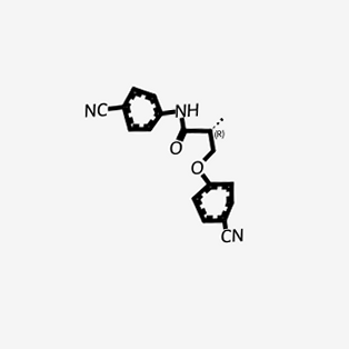 C[C@H](COc1ccc(C#N)cc1)C(=O)Nc1ccc(C#N)cc1